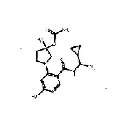 Cc1cc(N2CC[C@](C)(OC(N)=O)C2)c(C(=O)NC(C)C2CC2)cn1